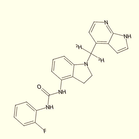 [2H]C([2H])(c1ccnc2[nH]ccc12)N1CCc2c(NC(=O)Nc3ccccc3F)cccc21